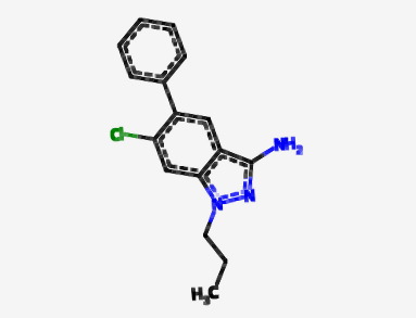 CCCn1nc(N)c2cc(-c3ccccc3)c(Cl)cc21